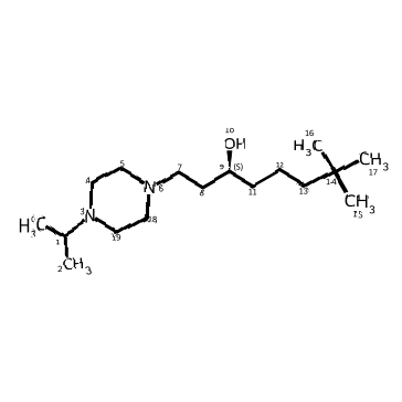 CC(C)N1CCN(CC[C@@H](O)CCCC(C)(C)C)CC1